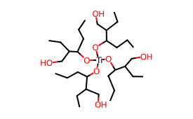 CCCC([O][Ti]([O]C(CCC)C(CC)CO)([O]C(CCC)C(CC)CO)[O]C(CCC)C(CC)CO)C(CC)CO